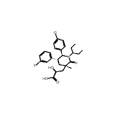 CCC(CC)N1C(=O)[C@](C)(CC(O)C(=O)O)C[C@H](c2cccc(Cl)c2)[C@H]1c1ccc(Cl)cc1